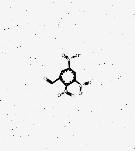 O=Cc1cc([N+](=O)[O-])cc([N+](=O)[O-])c1[N+](=O)[O-]